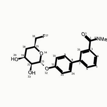 CNC(=O)c1cccc(-c2ccc(O[C@H]3O[C@H](CF)C[C@H](O)[C@@H]3O)cc2)c1